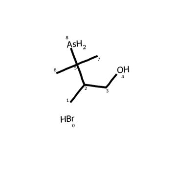 Br.CC(CO)C(C)(C)[AsH2]